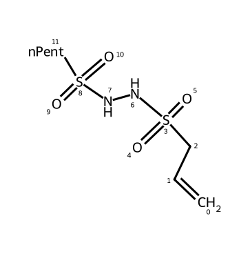 C=CCS(=O)(=O)NNS(=O)(=O)CCCCC